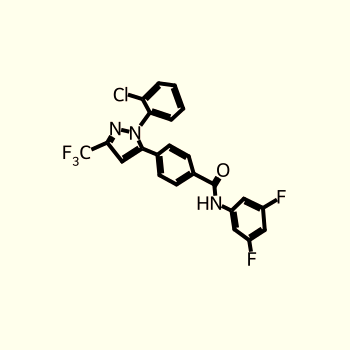 O=C(Nc1cc(F)cc(F)c1)c1ccc(-c2cc(C(F)(F)F)nn2-c2ccccc2Cl)cc1